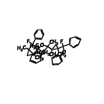 CC(C)(OC(C)(C)C1(C)CC1(C)C(F)(Oc1ccccc1)c1ccccc1)C1(C)CC1(C)C(F)(Oc1ccccc1)c1ccccc1